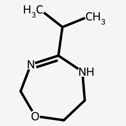 CC(C)C1=NCOCCN1